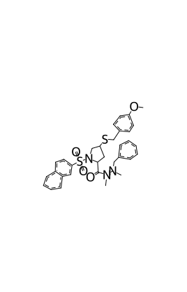 COc1ccc(CSC2CC(C(=O)N(C)N(C)Cc3ccccc3)N(S(=O)(=O)c3ccc4ccccc4c3)C2)cc1